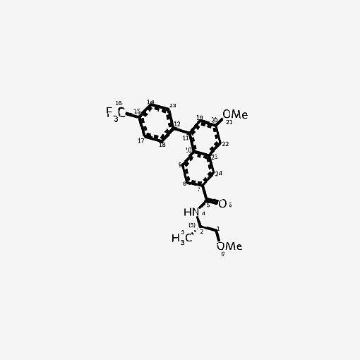 COC[C@H](C)NC(=O)c1ccc2c(-c3ccc(C(F)(F)F)cc3)cc(OC)cc2c1